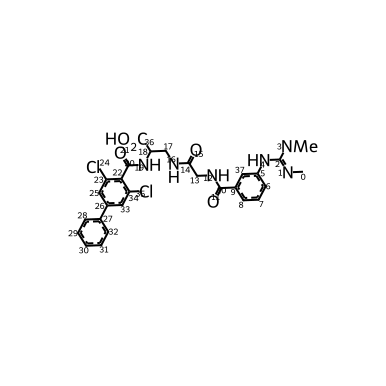 CN=C(NC)Nc1cccc(C(=O)NCC(=O)NCC(NC(=O)c2c(Cl)cc(-c3ccccc3)cc2Cl)C(=O)O)c1